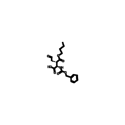 CCCCOC(=O)[C@@H](CC=O)[C@H](NC(=O)OCc1ccccc1)C(=O)O